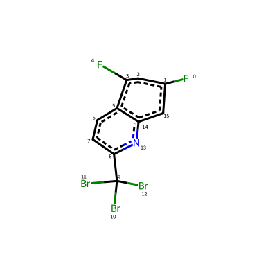 Fc1cc(F)c2ccc(C(Br)(Br)Br)nc2c1